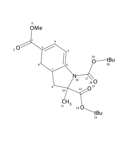 COC(=O)C1=CC=C2C(C1)CC(C)(C(=O)OC(C)(C)C)N2C(=O)OC(C)(C)C